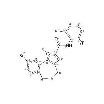 Cn1c(C(=O)Nc2c(F)cccc2F)cc2c1-c1cc(Br)ccc1CCC2